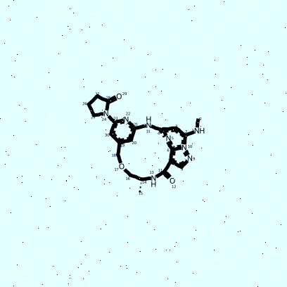 CNc1cc2nc3c(cnn13)C(=O)N[C@H](C)COCc1cc(nc(N3CCCC3=O)c1)N2